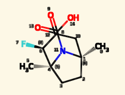 C[C@@]12CC[C@@](C)([C@@H](F)C(=O)C1)N2C(=O)O